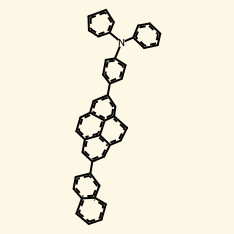 c1ccc(N(c2ccccc2)c2ccc(-c3cc4ccc5cc(-c6ccc7ccccc7c6)cc6ccc(c3)c4c56)cc2)cc1